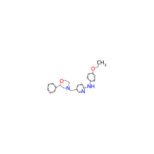 CCOc1ccc(Nc2ccc(CN3CCOC(c4ccccc4)C3)cn2)cc1